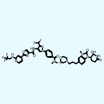 CN(C[C@H]1CN(CCCc2ccc3c(c2)n(C)c(=O)n3C2CCC(=O)NC2O)CCO1)C(=O)c1ccc(-n2cc(NC(=O)c3coc(-c4ccnc(NCC(F)(F)F)c4)n3)c(C(F)F)n2)cc1